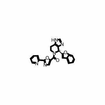 O=C(c1cnc(-c2ccccn2)o1)N1CCc2[nH]cnc2[C@H]1c1cc2ccccc2o1